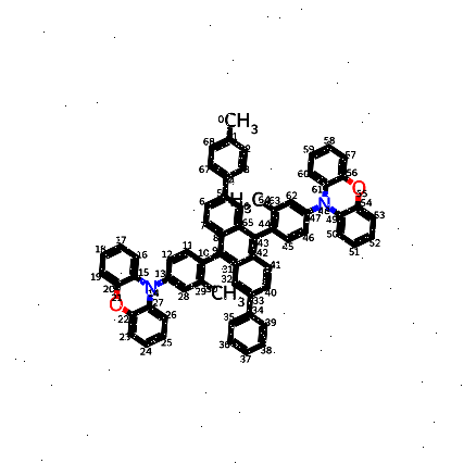 Cc1ccc(-c2ccc3c(-c4ccc(N5c6ccccc6Oc6ccccc65)cc4C)c4cc(-c5ccccc5)ccc4c(-c4ccc(N5c6ccccc6Oc6ccccc65)cc4C)c3c2)cc1